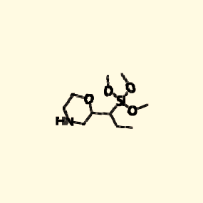 CCC(C1CNCCO1)[Si](OC)(OC)OC